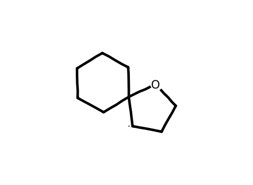 [CH]1CCOC12CCCCC2